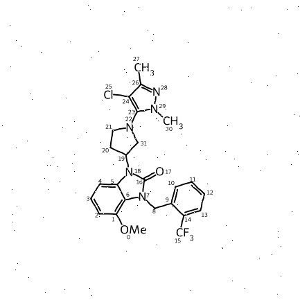 COc1cccc2c1n(Cc1ccccc1C(F)(F)F)c(=O)n2C1CCN(c2c(Cl)c(C)nn2C)C1